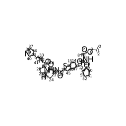 CC(C)COC(=O)[C@H](C)NP(=O)(Cc1ccc2sc(C(=O)N[C@H]3CCC[C@H]4CC[C@@H](C(=O)N5CC(c6cccnc6)C5)N4C3=O)cc2c1)Oc1ccccc1